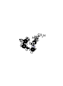 COC(=O)CSc1cc(/N=c2\sc(=O)n3n2CCCC3)c(F)cc1Cl.CS(=O)(=O)c1ccc(C(=O)C2C(=O)CCCC2=O)c(Cl)c1.C[S+](C)C.O=C(O)CNCP(=O)([O-])O